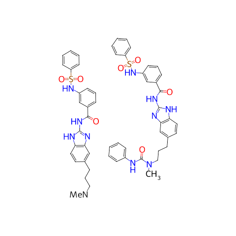 CN(CCCc1ccc2[nH]c(NC(=O)c3cccc(NS(=O)(=O)c4ccccc4)c3)nc2c1)C(=O)Nc1ccccc1.CNCCCc1ccc2[nH]c(NC(=O)c3cccc(NS(=O)(=O)c4ccccc4)c3)nc2c1